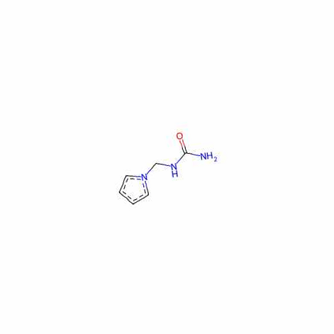 NC(=O)NCn1cccc1